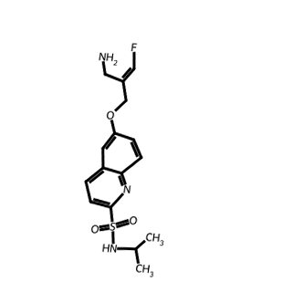 CC(C)NS(=O)(=O)c1ccc2cc(OC/C(=C/F)CN)ccc2n1